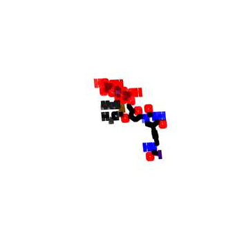 CSS[C@@H](C)OC1CC(n2cc(C#CCNC(=O)I)c(=O)[nH]c2=O)OC1COP(=O)(O)OP(=O)(O)OP(=O)(O)O